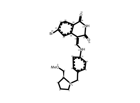 COC[C@@H]1CCCN1Cc1ccc(N/C=C2\C(=O)NC(=O)c3ccc(Br)cc32)cc1